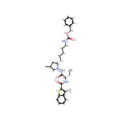 CC(C)C[C@H](NC(=O)c1sc2ccccc2c1Cl)C(=O)NN1CC(C)C[C@@H]1CCCCCNC(=O)OCc1ccccc1